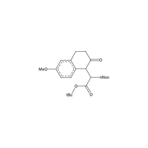 CCCCCCCCCC(C(=O)OC(C)(C)C)C1C(=O)CCc2cc(OC)ccc21